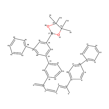 C=C(/C=C\C=C(/C)c1ccc(-c2ccccc2)cc1)c1cccc(-c2cc(B3OC(C)(C)C(C)(C)O3)cc(-c3ccccc3)c2)c1